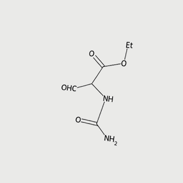 CCOC(=O)C(C=O)NC(N)=O